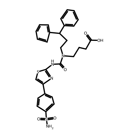 NS(=O)(=O)c1ccc(-c2csc(NC(=O)N(CCCC(=O)O)CCC(c3ccccc3)c3ccccc3)n2)cc1